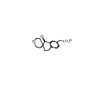 O=C(O)Cc1ccc2c(c1)C(=O)C1(CCOCC1)CC2